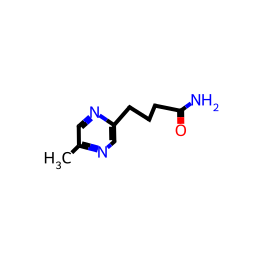 Cc1cnc(CCCC(N)=O)cn1